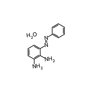 Nc1cccc(N=Nc2ccccc2)c1N.O